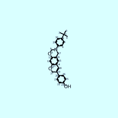 CC(C)(C)c1ccc(N2COc3cc4c(cc3C2)C=C(c2ccc(O)cc2)CO4)cc1